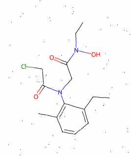 CCc1cccc(C)c1N(CC(=O)N(O)CC)C(=O)CCl